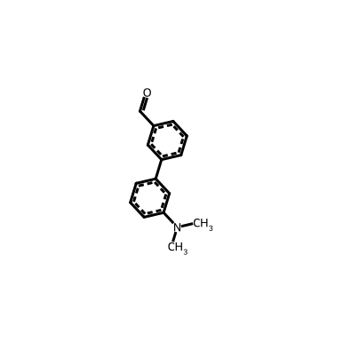 CN(C)c1cccc(-c2cccc(C=O)c2)c1